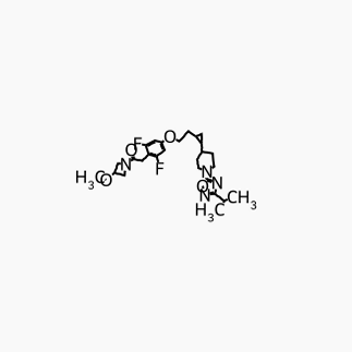 COC1CN(C(=O)Cc2c(F)cc(OCCC3CC3C3CCN(c4nc(C(C)C)no4)CC3)cc2F)C1